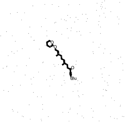 C/C(=C\COC1CCCCO1)CC/C=C(\C)CCC(=O)C#CC(C)(C)C